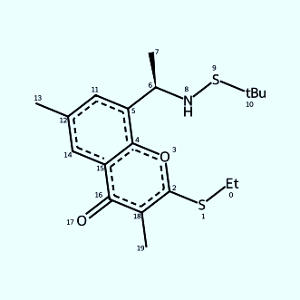 CCSc1oc2c([C@@H](C)NSC(C)(C)C)cc(C)cc2c(=O)c1C